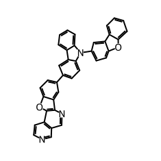 c1ccc2c(c1)oc1ccc(-n3c4ccccc4c4cc(-c5ccc6oc7c8ccncc8cnc7c6c5)ccc43)cc12